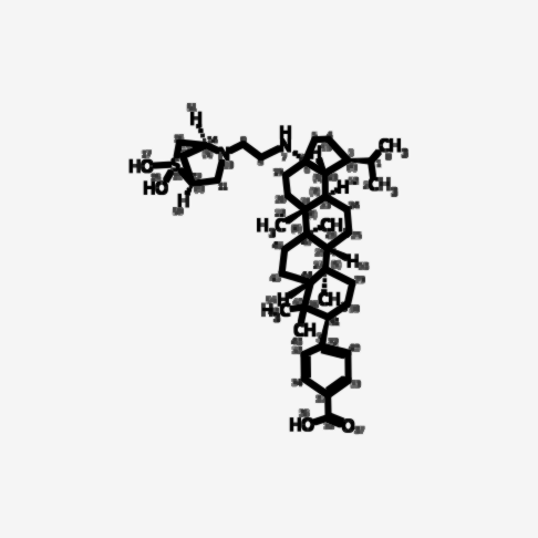 CC(C)[C@@H]1CC[C@]2(NCCN3C[C@@H]4C[C@H]3CS4(O)O)CC[C@]3(C)[C@H](CC[C@@H]4[C@@]5(C)CC[C@@H](c6ccc(C(=O)O)cc6)C(C)(C)[C@@H]5CC[C@]43C)[C@@H]12